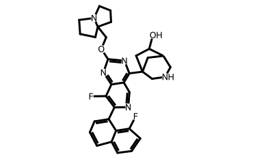 OC1CC2(c3nc(OCC45CCCN4CCC5)nc4c(F)c(-c5cccc6cccc(F)c56)ncc34)CNCC1C2